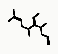 [CH2]C(C)=CCC(C)C(=CC)C(C)CC=C